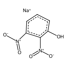 O=[N+]([O-])c1cccc(O)c1[N+](=O)[O-].[Na+]